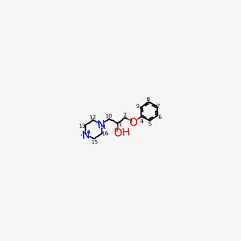 OC(COc1ccccc1)CN1CC[N]CC1